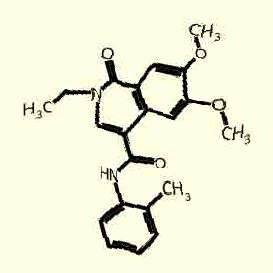 CCn1cc(C(=O)Nc2ccccc2C)c2cc(OC)c(OC)cc2c1=O